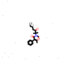 CC1=C(c2ccccc2)C(=O)N(C(C)(C)C(=O)CCCC(F)(F)F)CO1